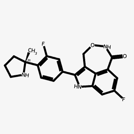 C[C@]1(c2ccc(-c3[nH]c4cc(F)cc5c4c3CONC5=O)cc2F)CCCN1